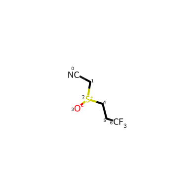 N#CC[S+]([O-])CCC(F)(F)F